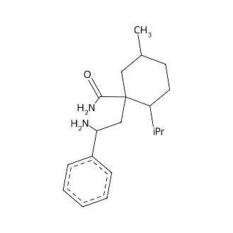 CC1CCC(C(C)C)C(CC(N)c2ccccc2)(C(N)=O)C1